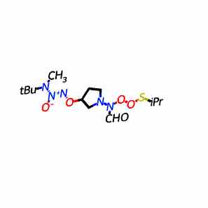 CC(C)SOON(C=O)N1CCC(ON=[N+]([O-])N(C)C(C)(C)C)C1